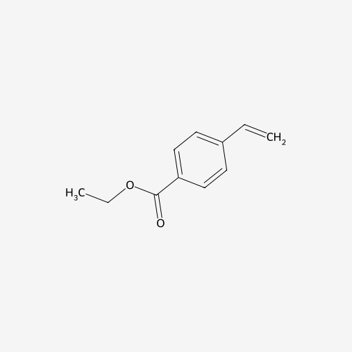 C=Cc1ccc(C(=O)OCC)cc1